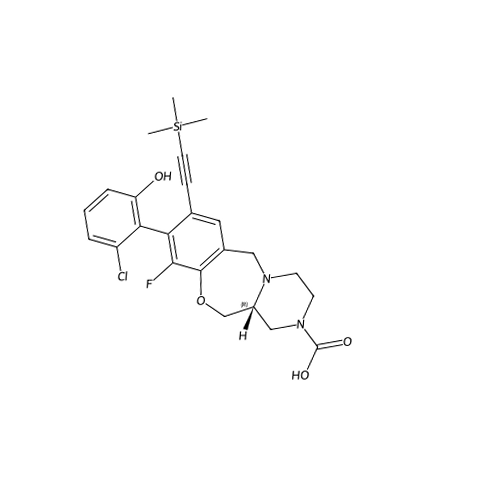 C[Si](C)(C)C#Cc1cc2c(c(F)c1-c1c(O)cccc1Cl)OC[C@H]1CN(C(=O)O)CCN1C2